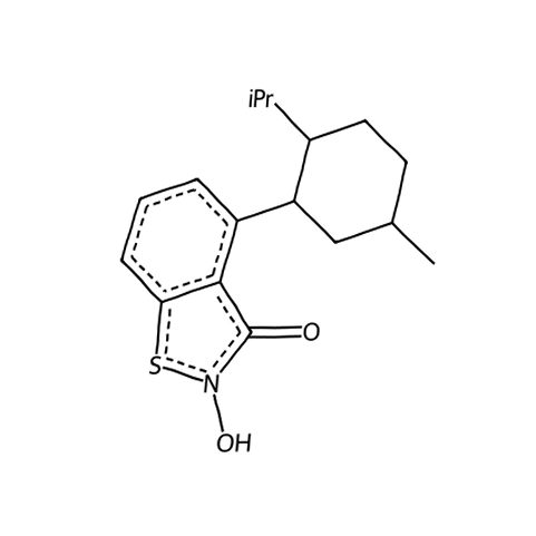 CC1CCC(C(C)C)C(c2cccc3sn(O)c(=O)c23)C1